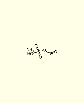 N.O=NOS(=O)(=O)O